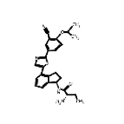 CC[C@H](N)C(=O)N[C@@H]1CCc2c(-c3cnc(-c4ccc(OC(C)C)c(C#N)c4)s3)cccc21